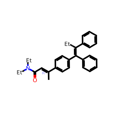 CCC(=C(c1ccccc1)c1ccc(/C(C)=C/C(=O)N(CC)CC)cc1)c1ccccc1